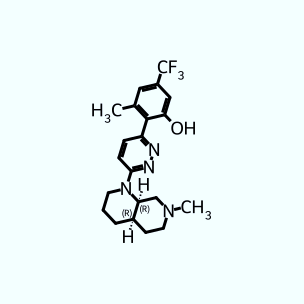 Cc1cc(C(F)(F)F)cc(O)c1-c1ccc(N2CCC[C@@H]3CCN(C)C[C@@H]32)nn1